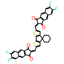 O=C1C(=Cc2cc3c(s2)-c2sc(C=C4C(=O)c5cc6cc(F)c(F)cc6cc5C4=O)cc2C32CCCCC2)C(=O)c2cc3cc(F)c(F)cc3cc21